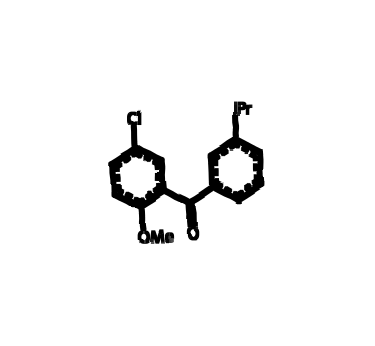 COc1ccc(Cl)cc1C(=O)c1cccc(C(C)C)c1